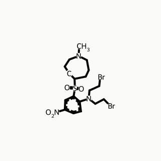 CN1CCCC(S(=O)(=O)c2cc([N+](=O)[O-])ccc2N(CCBr)CCBr)CCC1